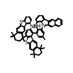 Cc1cc(-c2c(Nc3cccc4sc5cc6c(cc5c34)C(C)(C)CCC6(C)C)ccc3sc4cc5c(cc4c23)C(C)(C)CCC5(C)C)c2c(c1)-n1c3cc4ccccc4cc3c3cccc(c31)B2